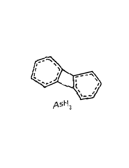 [AsH3].c1ccc2c(c1)-c1ccccc1-2